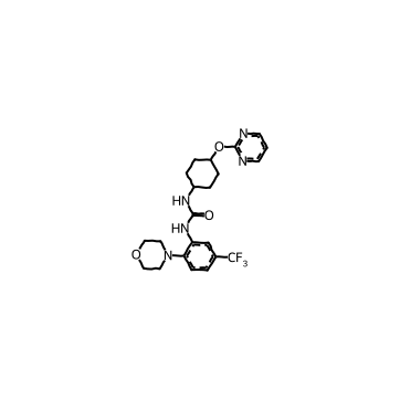 O=C(Nc1cc(C(F)(F)F)ccc1N1CCOCC1)NC1CCC(Oc2ncccn2)CC1